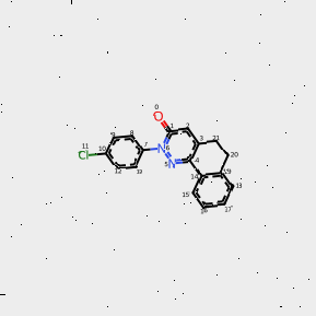 O=c1cc2c(nn1-c1ccc(Cl)cc1)-c1ccccc1CC2